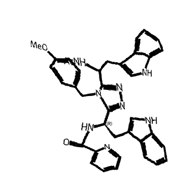 COc1ccc(Cn2c(C(Cc3c[nH]c4ccccc34)NC(C)=O)nnc2[C@@H](Cc2c[nH]c3ccccc23)NC(=O)c2ccccn2)cc1